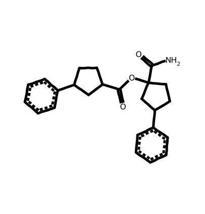 NC(=O)C1(OC(=O)C2CCC(c3ccccc3)C2)CCC(c2ccccc2)C1